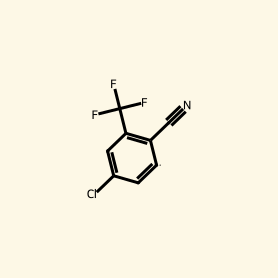 N#Cc1[c]cc(Cl)cc1C(F)(F)F